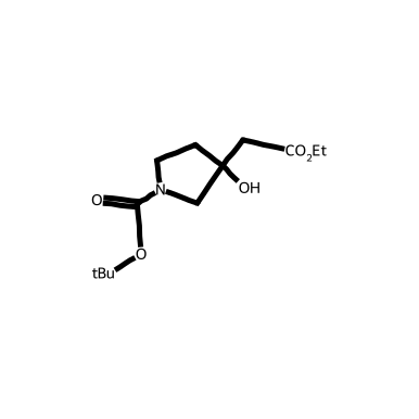 CCOC(=O)CC1(O)CCN(C(=O)OC(C)(C)C)C1